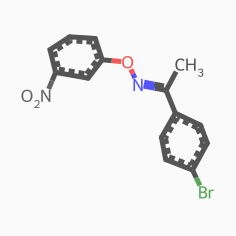 C/C(=N\Oc1cccc([N+](=O)[O-])c1)c1ccc(Br)cc1